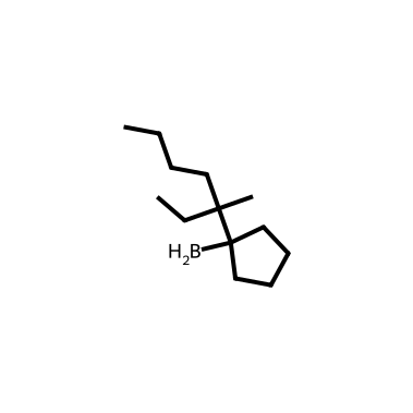 BC1(C(C)(CC)CCCC)CCCC1